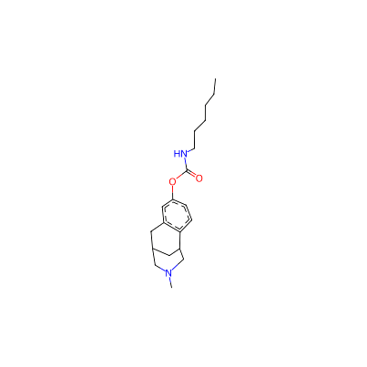 CCCCCCNC(=O)Oc1ccc2c(c1)CC1CC2CN(C)C1